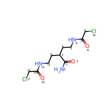 NC(=O)C(CCNC(=O)CCl)CCNC(=O)CCl